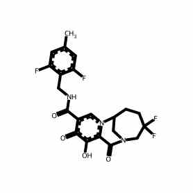 Cc1cc(F)c(CNC(=O)c2cn3c(c(O)c2=O)C(=O)N2CC3CCC(F)(F)C2)c(F)c1